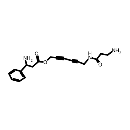 NCCC(=O)NCC#CC#CCOC(=O)CC(N)c1ccccc1